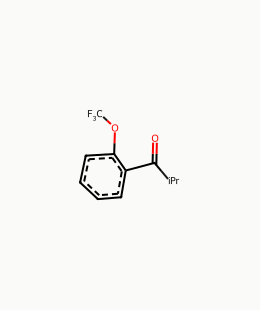 CC(C)C(=O)c1ccccc1OC(F)(F)F